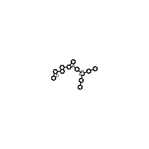 c1ccc(-c2ccc(-c3cc(-c4ccc(-c5ccccc5)cc4)nc(-c4ccc(-n5c6ccccc6c6cc(-c7cccc8c(-c9cccc%10c9oc9ccccc9%10)cccc78)ccc65)cc4)n3)cc2)cc1